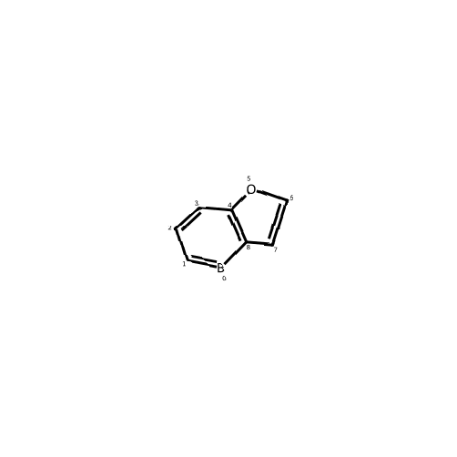 b1cccc2occc12